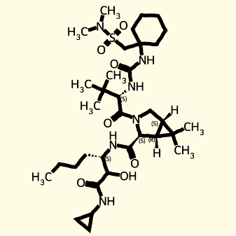 CCCC[C@H](NC(=O)[C@@H]1[C@@H]2[C@H](CN1C(=O)[C@@H](NC(=O)NC1(CS(=O)(=O)N(C)C)CCCCC1)C(C)(C)C)C2(C)C)C(O)C(=O)NC1CC1